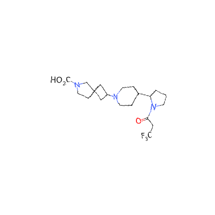 O=C(O)N1CCC2(CC(N3CCC(C4CCCN4C(=O)CC(F)(F)F)CC3)C2)C1